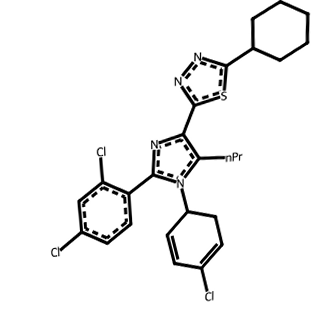 CCCc1c(-c2nnc(C3CCCCC3)s2)nc(-c2ccc(Cl)cc2Cl)n1C1C=CC(Cl)=CC1